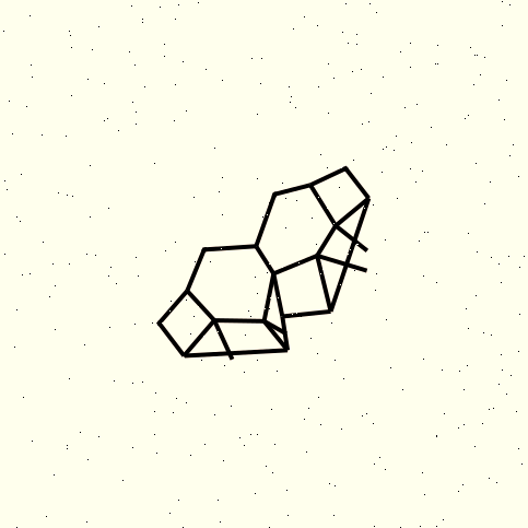 CC12C3CC1C1C4C5C6CC7CC(C3)C4(C12C)C5(C)C76C